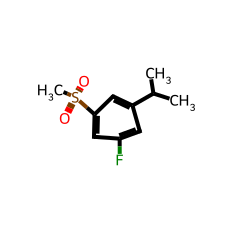 CC(C)c1cc(F)cc(S(C)(=O)=O)c1